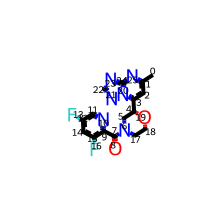 Cc1cc(C2CN(C(=O)c3ncc(F)cc3F)CCO2)n2ncnc2n1